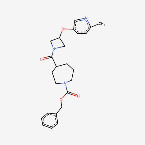 Cc1ccc(OC2CN(C(=O)C3CCCN(C(=O)OCc4ccccc4)CC3)C2)cn1